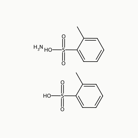 Cc1ccccc1S(=O)(=O)O.Cc1ccccc1S(=O)(=O)O.N